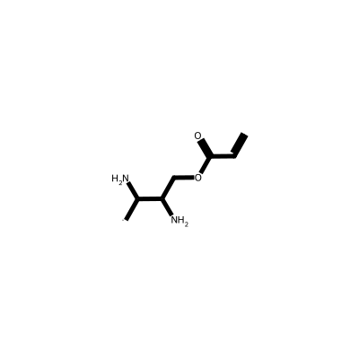 [CH2]C(N)C(N)COC(=O)C=C